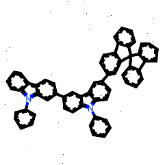 c1ccc(-n2c3ccc(-c4ccc5c(c4)C4(c6ccccc6-c6ccccc64)c4ccccc4-5)cc3c3cc(-c4ccc5c6ccccc6n(-c6ccccc6)c5c4)ccc32)cc1